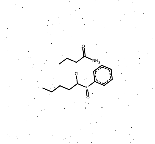 CCCC(N)=O.CCCCC(Cl)[Si](=O)c1ccccc1